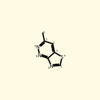 Cc1cc2scnc2nn1